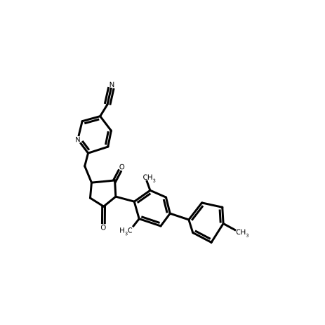 Cc1ccc(-c2cc(C)c(C3C(=O)CC(Cc4ccc(C#N)cn4)C3=O)c(C)c2)cc1